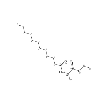 CCCCCCCCCCCC(=O)NC(C)C(=O)OCC